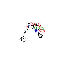 CCCCCCCCCCCCCCCCCC[N+]1(c2cccc(OC(C)(C)C(=O)C(Cl)(Cl)C(=O)Nc3ccccc3)c2)C(=O)CCC1=O